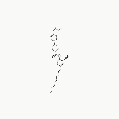 CCCCCCCCCCc1ccc(OC(=O)C2CCC(c3ccc(CC(C)CC)cc3)CC2)c(C#N)c1